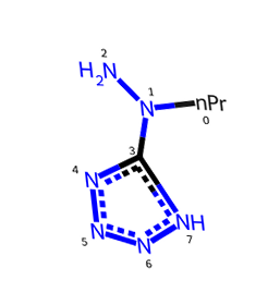 CCCN(N)c1nnn[nH]1